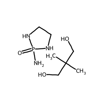 CC(C)(CO)CO.NP1(=O)NCCN1